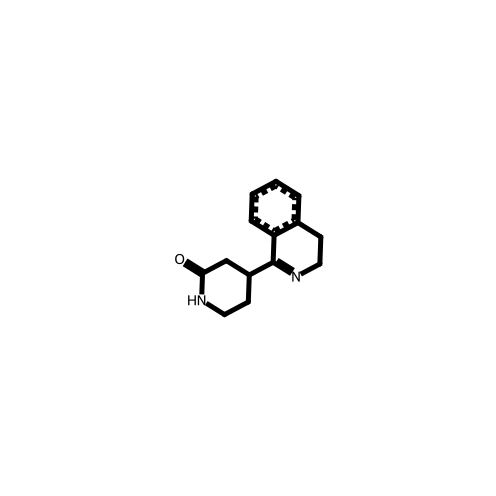 O=C1CC(C2=NCCc3ccccc32)CCN1